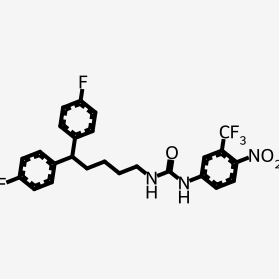 O=C(NCCCCC(c1ccc(F)cc1)c1ccc(F)cc1)Nc1ccc([N+](=O)[O-])c(C(F)(F)F)c1